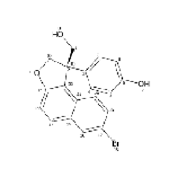 OC[C@]1(c2ccc(O)cc2)COc2ccc3cc(Br)ccc3c21